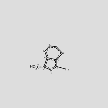 O=C(O)n1nc(I)c2ccccc21